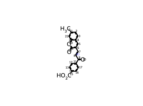 Cc1ccc2cc(/C=C/C(=O)c3ccc(C(=O)O)cc3)c(=O)oc2c1